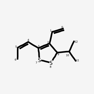 C=CC1=C(/C=C\C)SSC1C(C)C